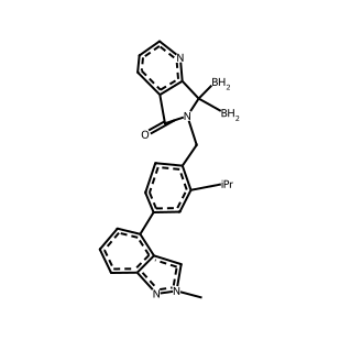 BC1(B)c2ncccc2C(=O)N1Cc1ccc(-c2cccc3nn(C)cc23)cc1C(C)C